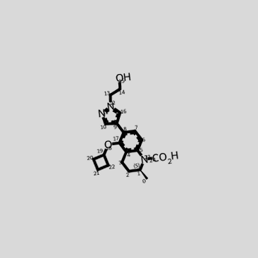 C[C@H]1CCc2c(ccc(-c3cnn(CCO)c3)c2OC2CCC2)N1C(=O)O